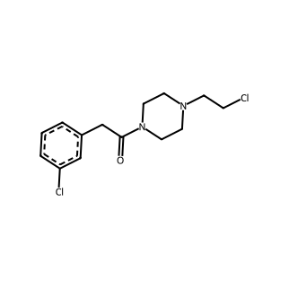 O=C(Cc1cccc(Cl)c1)N1CCN(CCCl)CC1